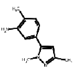 Cc1cc(-c2ccc(C)c(N)c2)n(C)n1